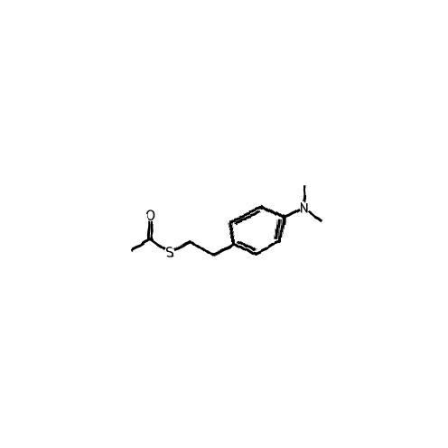 CC(=O)SCCc1ccc(N(C)C)cc1